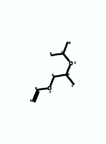 [CH2]C(C)OC(C)COC=C